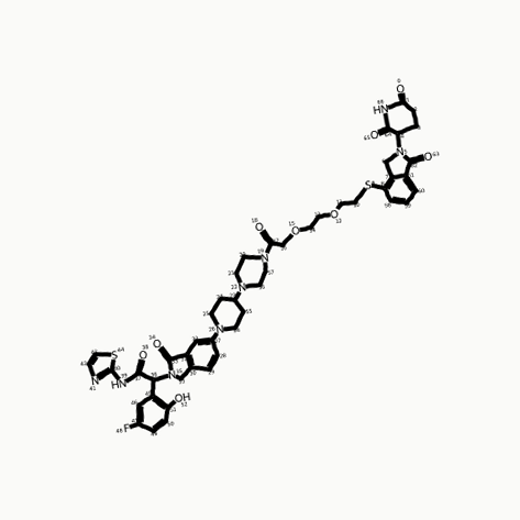 O=C1CCC(N2Cc3c(SCCOCCOCC(=O)N4CCN(C5CCN(c6ccc7c(c6)C(=O)N(C(C(=O)Nc6nccs6)c6cc(F)ccc6O)C7)CC5)CC4)cccc3C2=O)C(=O)N1